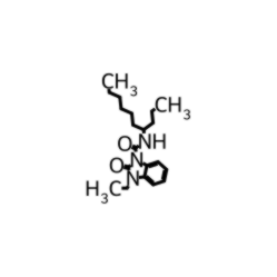 CCCCCCC(CCC)NC(=O)n1c(=O)n(CC)c2ccccc21